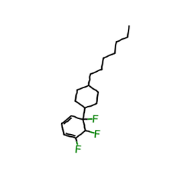 CCCCCCCC1CCC(C2(F)C=CC=C(F)C2F)CC1